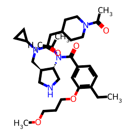 CCc1ccc(C(=O)N(C(C)C)[C@@H]2CNC[C@H]2CN(C(=O)CC2CCN(C(C)=O)CC2)C2CC2)cc1OCCCOC